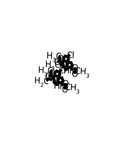 C=CCC(C(=O)OC)(c1ccc(Cl)cc1)n1ccc2c(NS(C)(=O)=O)cccc21.CCC(C(=O)OC)(c1ccc(Cl)cc1)n1ncc2c(NS(C)(=O)=O)cccc21